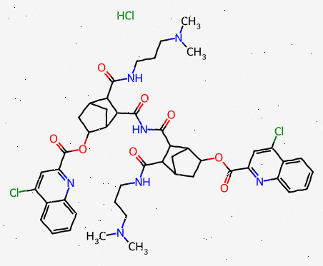 CN(C)CCCNC(=O)C1C2CC(OC(=O)c3cc(Cl)c4ccccc4n3)C(C2)C1C(=O)NC(=O)C1C2CC(CC2OC(=O)c2cc(Cl)c3ccccc3n2)C1C(=O)NCCCN(C)C.Cl